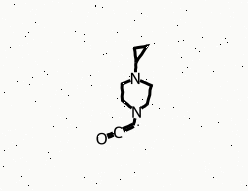 O=C=[C]N1CCN(C2CC2)CC1